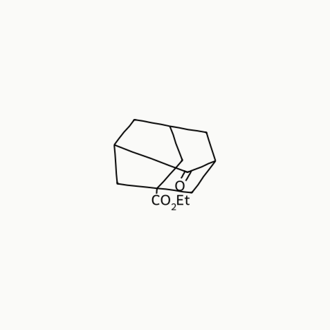 CCOC(=O)C12CC3CC(C1)C(=O)C(C3)C2